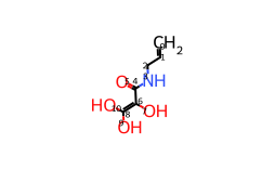 C=CCNC(=O)C(O)=C(O)O